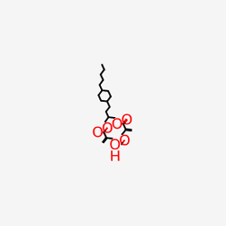 C=C(CO)C(=O)OCC(CCC1CCC(CCCCC)CC1)COC(=O)C(=C)COC